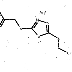 CCSc1nnc(SCC(=O)[O-])s1.[Ag+]